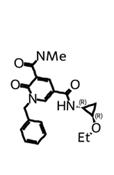 CCO[C@@H]1C[C@H]1NC(=O)c1cc(C(=O)NC)c(=O)n(Cc2ccccc2)c1